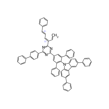 C=C/C(=C\C=C\c1ccccc1)c1nc(-c2ccc(-c3ccccc3)cc2)nc(-c2cc(-c3ccccc3)c(-n3c4ccc(-c5ccccc5)cc4c4cc(-c5ccccc5)ccc43)c(-c3ccccc3)c2)n1